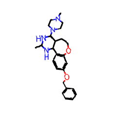 CC1NC2c3ccc(OCc4ccccc4)cc3OCCC2C(N2CCN(C)CC2)N1